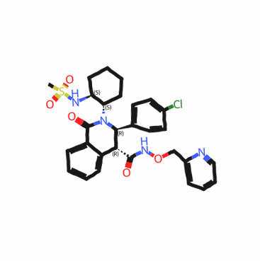 CS(=O)(=O)N[C@H]1CCCC[C@@H]1N1C(=O)c2ccccc2[C@@H](C(=O)NOCc2ccccn2)[C@@H]1c1ccc(Cl)cc1